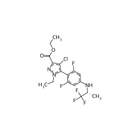 CCOC(=O)c1nn(CC)c(-c2c(F)cc(N[C@H](C)C(F)(F)F)cc2F)c1Cl